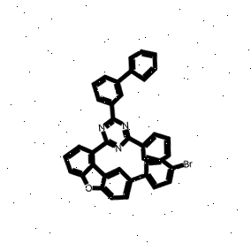 Brc1ccc(-c2ccc3oc4cccc(-c5nc(-c6ccccc6)nc(-c6cccc(-c7ccccc7)c6)n5)c4c3c2)cc1